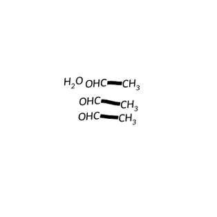 CC=O.CC=O.CC=O.O